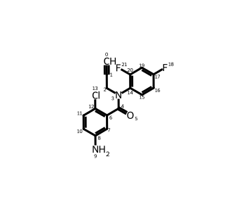 C#CCN(C(=O)c1cc(N)ccc1Cl)c1ccc(F)cc1F